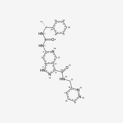 C[C@@H](NC(=O)Nc1cc2[nH]nc(C(=O)NCc3cccnn3)c2cn1)c1ccccc1